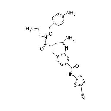 CCCN(OCc1ccc(N)cc1)C(=O)C1=Cc2ccc(C(=O)Nc3ccc(C#N)s3)cc2N=C(N)C1